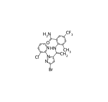 C=C(Nc1c(C)cc(C(F)(F)F)cc1C(N)=O)c1cc(Br)nn1-c1ncccc1Cl